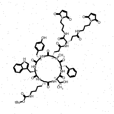 C[C@@H](O)[C@@H]1NC(=O)[C@H](CCCCNC(=O)OC(C)(C)C)NC(=O)[C@@H](Cc2c[nH]c3ccccc23)NC(=O)[C@H](Cc2ccc(O)cc2)NC(=O)[C@H](CCC(=O)N[C@@H](CCC(=O)NCCCN2C(=O)C=CC2=O)C(=O)NCCCN2C(=O)C=CC2=O)N(C)C(=O)[C@H](Cc2ccccc2)NC1=O